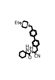 CCN1CCN(Cc2ccc(-c3ccc(C[C@@H](C#N)NC(=O)C4(N)CCCCC4)cc3)cc2)CC1